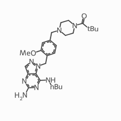 CCCCNc1nc(N)nc2cnn(Cc3ccc(CN4CCN(C(=O)C(C)(C)C)CC4)cc3OC)c12